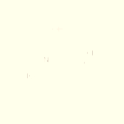 COc1cc(CO)nc2c1CCCCC2O